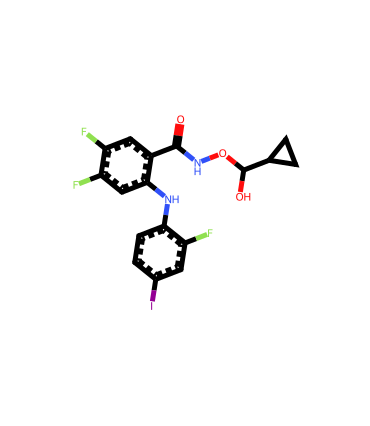 O=C(NOC(O)C1CC1)c1cc(F)c(F)cc1Nc1ccc(I)cc1F